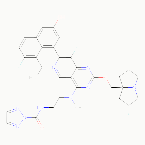 CCc1c(F)ccc2cc(O)cc(-c3ncc4c(N(C)CCNC(=O)n5nccn5)nc(OC[C@@]56CCCN5C[C@H](F)C6)nc4c3F)c12